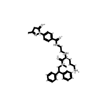 CC1=NN(c2ccc(C(=O)NCCN[C@@H](CCCN)C(=O)N(C)CC(c3ccccc3)c3ccccc3)cc2)C(=O)C1